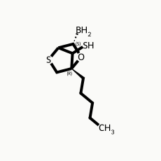 B[C@@H]1O[C@]2(CCCCC)CSC1C2S